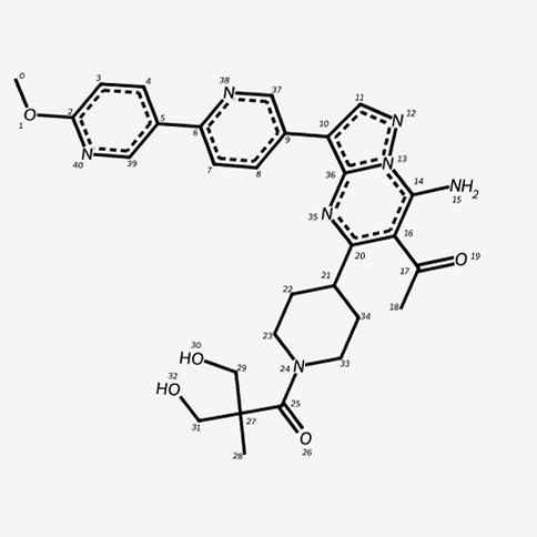 COc1ccc(-c2ccc(-c3cnn4c(N)c(C(C)=O)c(C5CCN(C(=O)C(C)(CO)CO)CC5)nc34)cn2)cn1